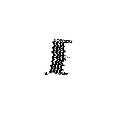 CCCCCCCCCCCCCCCCCCCCCCCC(=O)[O-].CCCCCCCCCCCCCCCCCCCCCCCC(=O)[O-].CCCCCCCCCCCCCCCCCCCCCCCC(=O)[O-].CCCCCCCCCCCCCCCCCCCCCCCC(=O)[O-].[C+4]